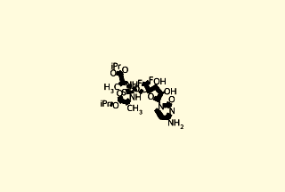 CC(C)OC(=O)C(C)NP(=S)(NC(C)C(=O)OC(C)C)OC[C@@]1(C(F)F)O[C@@H](n2ccc(N)nc2=O)[C@H](O)[C@@H]1O